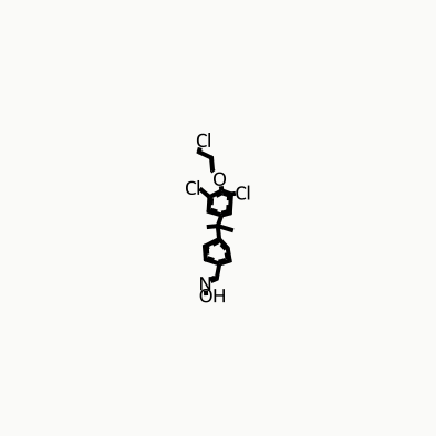 CC(C)(c1ccc(C=NO)cc1)c1cc(Cl)c(OCCCCl)c(Cl)c1